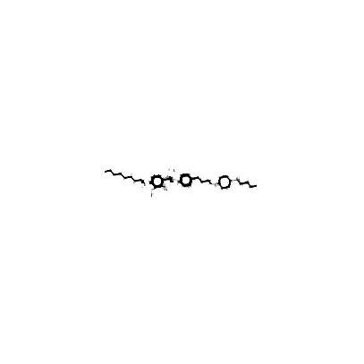 CCCCCCCCOc1ccc(C(=O)Oc2ccc(CCCC[C@H]3CC[C@H](CCCCC)CC3)cc2)c(F)c1F